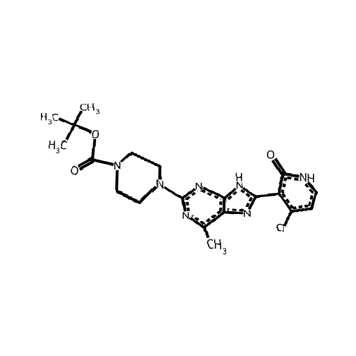 Cc1nc(N2CCN(C(=O)OC(C)(C)C)CC2)nc2[nH]c(-c3c(Cl)cc[nH]c3=O)nc12